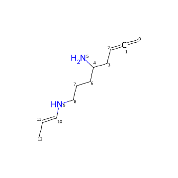 C=C=CCC(N)CCCNC=CC